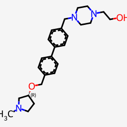 CN1CC[C@@H](OCc2ccc(-c3ccc(CN4CCN(CCO)CC4)cc3)cc2)C1